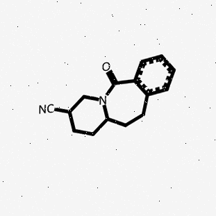 N#CC1CCC2CCc3ccccc3C(=O)N2C1